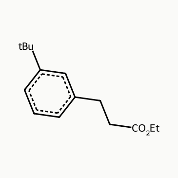 CCOC(=O)CCc1cccc(C(C)(C)C)c1